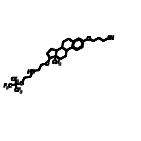 CC12CCC3c4ccc(OCCCS)cc4CCC3C1CCC2OCCNCCOC(C(F)(F)F)(C(F)(F)F)C(F)(F)F